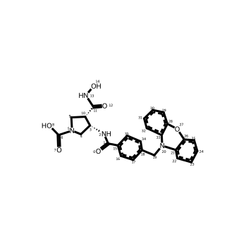 O=C(N[C@@H]1CN(C(=O)O)C[C@@H]1C(=O)NO)c1ccc(CN2c3ccccc3Oc3ccccc32)cc1